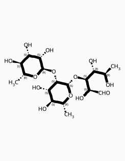 C[C@@H](O)[C@@H](O)[C@H](O[C@@H]1O[C@H](C)[C@@H](O)[C@H](O)[C@@H]1O[C@H]1O[C@H](C)[C@@H](O)[C@H](O)[C@@H]1O)[C@H](O)C=O